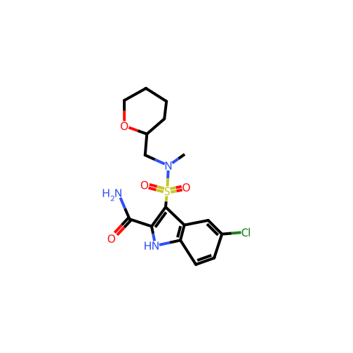 CN(CC1CCCCO1)S(=O)(=O)c1c(C(N)=O)[nH]c2ccc(Cl)cc12